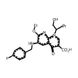 CCOc1nc2c(cc1NCc1ccc(F)cc1)c(=O)c(C(=O)O)cn2C(CO)C(C)C